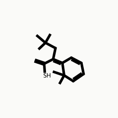 C=C(S)/C(CC(C)(C)C)=C1/C=CC=CC1(C)C